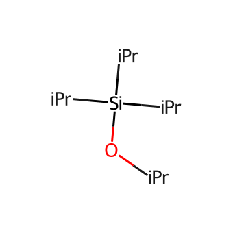 CC(C)O[Si](C(C)C)(C(C)C)C(C)C